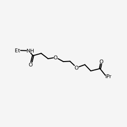 CCNC(=O)CCOCCOCCC(=O)C(C)C